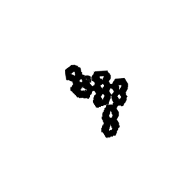 c1ccc2cc(-c3ccc4cccc(-c5c6ccccc6c(-c6cccc7c6oc6ccccc67)c6ccccc56)c4c3)ccc2c1